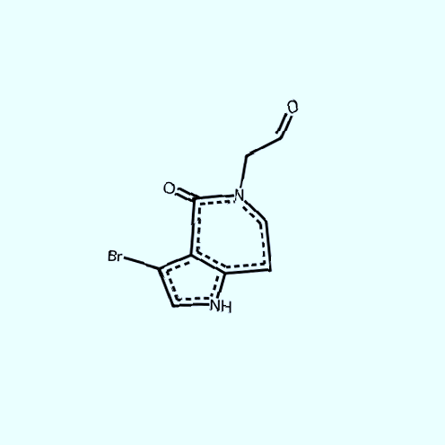 O=CCn1ccc2[nH]cc(Br)c2c1=O